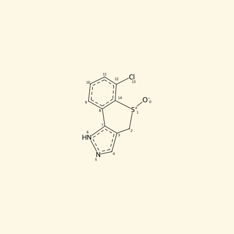 [O-][S+]1Cc2cn[nH]c2-c2cccc(Cl)c21